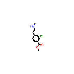 CNCCc1ccc(C(=O)OC)cc1.Cl